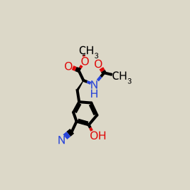 COC(=O)[C@H](Cc1ccc(O)c(C#N)c1)NC(C)=O